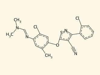 Cc1cc(N=CN(C)C)c(Cl)cc1Oc1snc(-c2ccccc2Cl)c1C#N